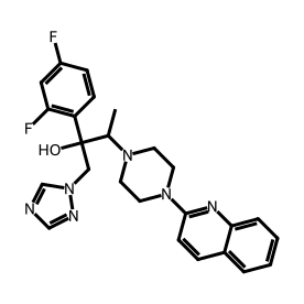 CC(N1CCN(c2ccc3ccccc3n2)CC1)C(O)(Cn1cncn1)c1ccc(F)cc1F